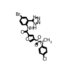 CN(c1ccc(Cl)cc1)S(=O)(=O)c1coc(C(=O)Nc2ccc(Br)cc2-c2nnn[nH]2)c1